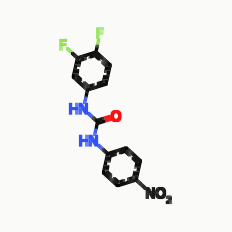 O=C(Nc1ccc([N+](=O)[O-])cc1)Nc1ccc(F)c(F)c1